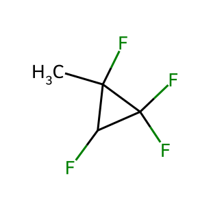 CC1(F)C(F)C1(F)F